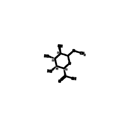 COC1O[C@H](C(=O)O)[C@H](O)[C@H](O)[C@H]1O